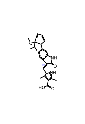 COC1(C(C)C)C=CC=CC1c1ccc2c(c1)NC(=O)/C2=C\c1[nH]c(C)c(C(=O)O)c1C